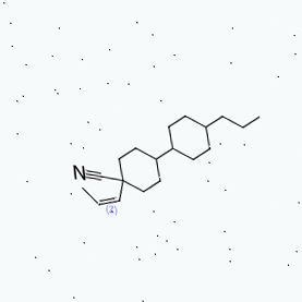 C/C=C\C1(C#N)CCC(C2CCC(CCC)CC2)CC1